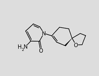 Nc1cccn(C2=CC[C@]3(CCCO3)CC2)c1=O